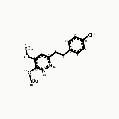 CCCCOc1cc(CCc2ccc(Cl)cc2)nnc1OCCCC